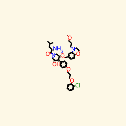 COCCCN1CCOc2ccc(CO[C@H]3CN(C(=O)[C@@H](N)CC(C)C)C[C@@H](O)[C@@H]3c3ccc(OCCCOc4ccccc4Cl)cc3)cc21